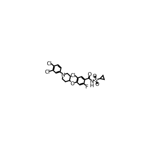 O=C(NS(=O)(=O)C1CC1)c1cc(Cl)c(OC2CCN(c3ccc(Cl)c(Cl)c3)CC2)cc1F